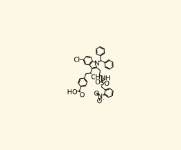 CC(Cc1ccc(C(=O)O)cc1)c1c(CCNS(=O)(=O)Cc2ccccc2[N+](=O)[O-])n(C(c2ccccc2)c2ccccc2)c2ccc(Cl)cc12